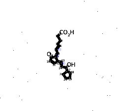 O=C(O)CCC/C=C/C=C1\C(=O)C=CC1/C=C/C(O)C1CCCC1